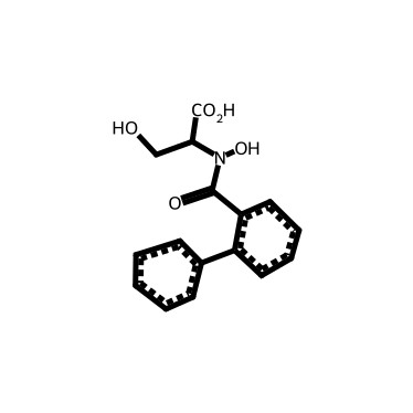 O=C(O)C(CO)N(O)C(=O)c1ccccc1-c1ccccc1